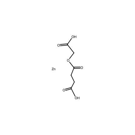 O=C(O)CCC(=O)OCC(=O)O.[Zn]